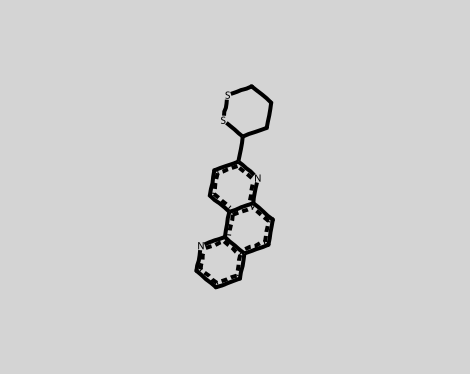 c1cnc2c(c1)ccc1nc(C3CCCSS3)ccc12